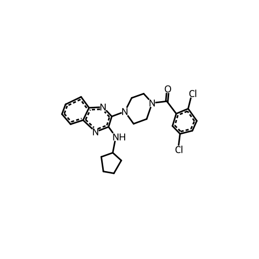 O=C(c1cc(Cl)ccc1Cl)N1CCN(c2nc3ccccc3nc2NC2CCCC2)CC1